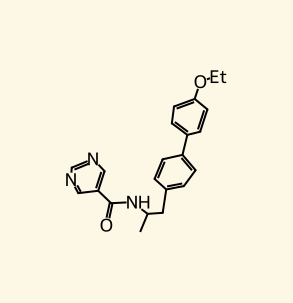 CCOc1ccc(-c2ccc(CC(C)NC(=O)c3cncnc3)cc2)cc1